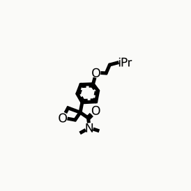 CC(C)CCOc1ccc(C2(C(=O)N(C)C)COC2)cc1